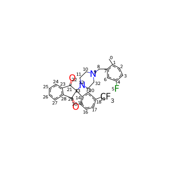 Cc1ccc(F)cc1CN1CCN(C2(c3cccc(C(F)(F)F)c3)C(=O)c3ccccc3C2=O)CC1